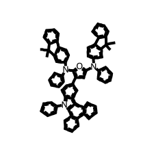 CC1(C)c2ccccc2-c2ccc(N(c3ccccc3)c3cc(-c4ccc5c(c4)c4c6ccccc6c6ccccc6c4n5-c4ccccc4)c(N(c4ccccc4)c4ccc5c(c4)C(C)(C)c4ccccc4-5)o3)cc21